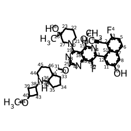 C#Cc1c(F)ccc2cc(O)cc(-c3nc(OC)c4c(N5CCC[C@@](C)(O)C5)nc(OC[C@]56CCC[C@H]5N(C5CC(OC)C5)CCC6)nc4c3F)c12